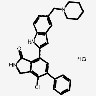 Cl.O=C1NCc2c(Cl)c(-c3ccccc3)cc(-c3cc4cc(CN5CCCCC5)ccc4[nH]3)c21